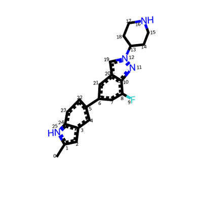 Cc1cc2cc(-c3cc(F)c4nn(C5CCNCC5)cc4c3)ccc2[nH]1